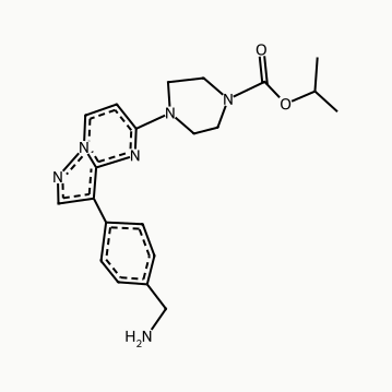 CC(C)OC(=O)N1CCN(c2ccn3ncc(-c4ccc(CN)cc4)c3n2)CC1